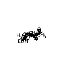 CCNC(=O)Nc1cc(C)c(C(=O)N2CCC(C)(N3CCC(N(Cc4ccccc4)c4ccc(C(C)(C)C(=O)N5CCOCC5)cc4)CC3)CC2)c(C)c1